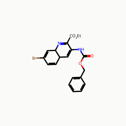 CCOC(=O)C1=NC2C=C(Br)C=CC2C=C1NC(=O)OCc1ccccc1